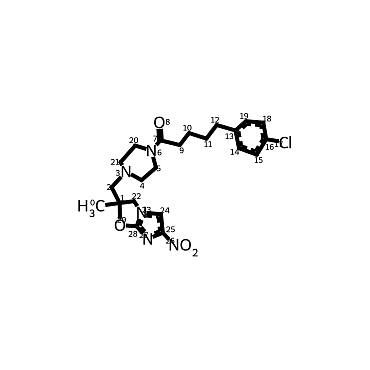 CC1(CN2CCN(C(=O)CCCCc3ccc(Cl)cc3)CC2)Cn2cc([N+](=O)[O-])nc2O1